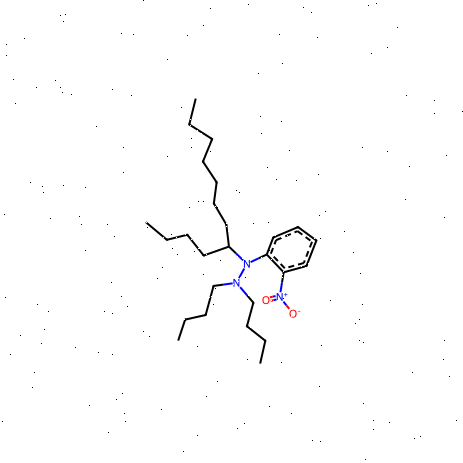 CCCCCCCC(CCCC)N(c1ccccc1[N+](=O)[O-])N(CCCC)CCCC